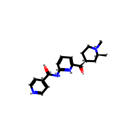 C[C@H]1C[C@H](C(=O)c2cccc(NC(=O)c3ccncc3)n2)CCN1C